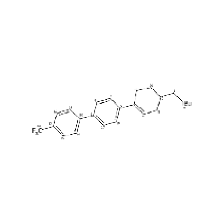 CCC(C)CC1CC=C(c2ccc(-c3ccc(C(F)(F)F)cc3)cc2)CC1